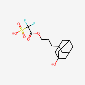 O=C(OCCCC12CC3CC(CC(O)(C3)C1)C2)C(F)(F)S(=O)(=O)O